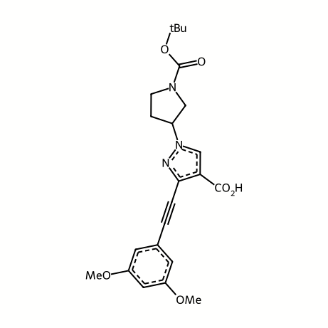 COc1cc(C#Cc2nn(C3CCN(C(=O)OC(C)(C)C)C3)cc2C(=O)O)cc(OC)c1